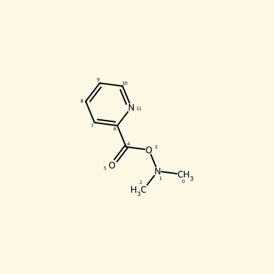 CN(C)OC(=O)c1ccccn1